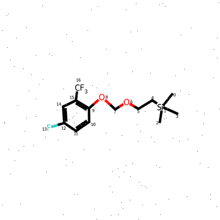 C[Si](C)(C)CCOCOc1ccc(F)cc1C(F)(F)F